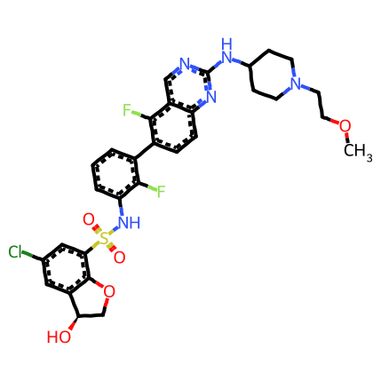 COCCN1CCC(Nc2ncc3c(F)c(-c4cccc(NS(=O)(=O)c5cc(Cl)cc6c5OC[C@H]6O)c4F)ccc3n2)CC1